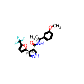 COc1cccc([C@H](C)NC(=O)[C@@H]2CNC[C@H]2c2ccc(C(F)(F)F)o2)c1